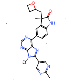 CCn1c(-c2cnc(C)nc2)nc2c(-c3ccc4c(c3)[C@@](C)(CC3CCO3)C(=O)N4)ncnc21